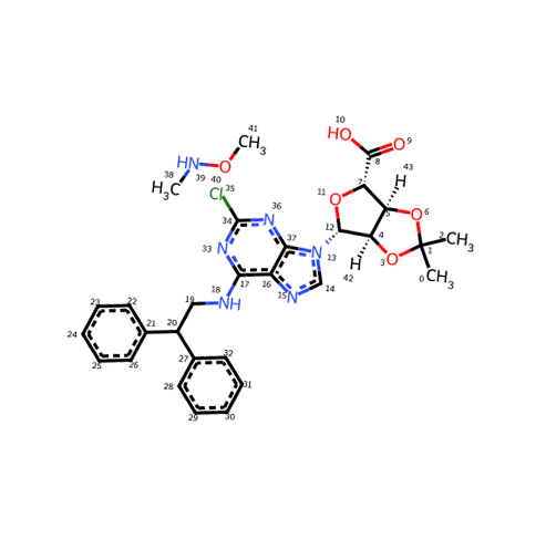 CC1(C)O[C@@H]2[C@H](O1)[C@@H](C(=O)O)O[C@H]2n1cnc2c(NCC(c3ccccc3)c3ccccc3)nc(Cl)nc21.CNOC